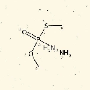 COP(N)(=O)SC.N